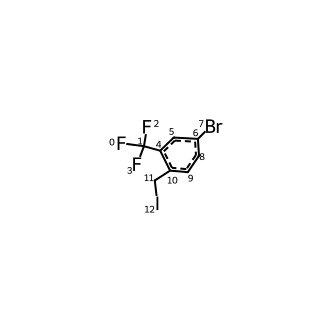 FC(F)(F)c1cc(Br)ccc1CI